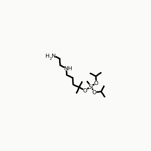 CC(C)O[Si](C)(OC(C)C)OC(C)(C)CCCNCCN